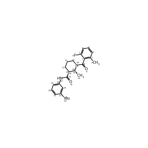 Cc1cccc(F)c1C(=O)N1CCC[C@H](C(=O)Nc2cccc(C(C)(C)C)c2)[C@@H]1C